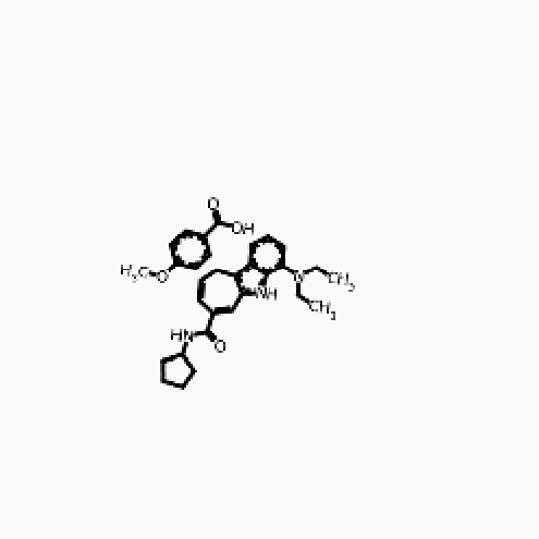 CCN(CC)c1cccc2c3c([nH]c12)C=C(C(=O)NC1CCCC1)C=CC3.COc1ccc(C(=O)O)cc1